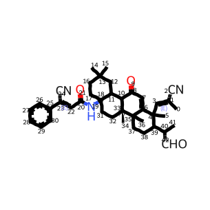 C/C(C#N)=C\C1(C)C2=CC(=O)C3C4CC(C)(C)CCC4(NC(=O)/C=C(\C#N)c4ccccc4)CC[C@@]3(C)C2(C)CCC1C(C)C=O